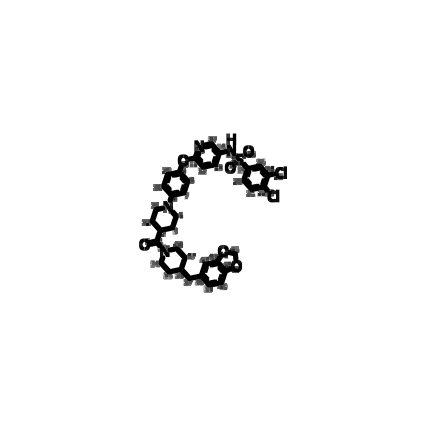 O=C(C1CCN(c2ccc(Oc3ccc(NS(=O)(=O)c4ccc(Cl)c(Cl)c4)cn3)cc2)CC1)N1CCC(Cc2ccc3c(c2)OCO3)CC1